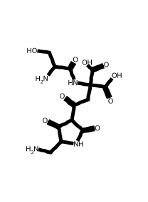 NCC1NC(=O)C(C(=O)CC(NC(=O)C(N)CO)(C(=O)O)C(=O)O)C1=O